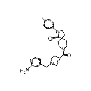 Cc1ccc(N2CCC3(CCN(C(=O)C4CCN(Cc5ccnc(N)c5)CC4)CC3)C2=O)cc1